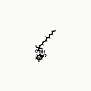 CCCCCCCCCCC(C)(C)C(=O)NC12CCC(CC1)NC2=O